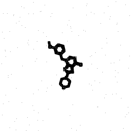 COc1cccc(Cn2cnc(=O)c3sc(N4CCOCC4)nc32)c1